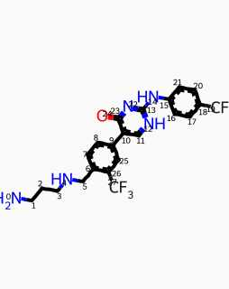 NCCCNCc1ccc(-c2c[nH]c(Nc3ccc(C(F)(F)F)cc3)nc2=O)cc1C(F)(F)F